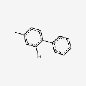 CCc1[c]c(C)ccc1-c1ccccc1